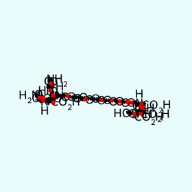 NS(=O)(=O)c1ccc(NC(=O)CN(CCN(CC(=O)NCCOCCOCCOCCOCCOCCOCCOCCOCCOCCOCCOCCOCCC(=O)N[C@@H](CC(=O)O)C(=O)N[C@@H](CC(=O)O)C(=O)N[C@@H](CSSCCO)C(=O)O)CC(=O)Nc2ccc(S(N)(=O)=O)cc2)CC(=O)O)cc1